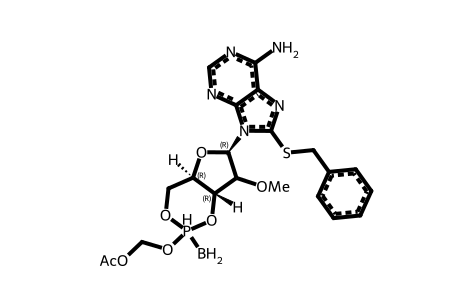 B[PH]1(OCOC(C)=O)OC[C@H]2O[C@@H](n3c(SCc4ccccc4)nc4c(N)ncnc43)C(OC)[C@@H]2O1